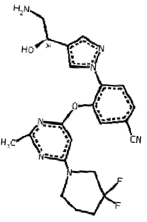 Cc1nc(Oc2cc(C#N)ccc2-n2cc([C@@H](O)CN)cn2)cc(N2CCCC(F)(F)C2)n1